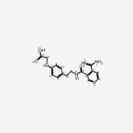 N=C(N)c1ccncc1C(=O)NCCc1ccc(OCC(=O)O)cc1